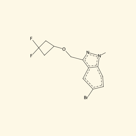 Cn1nc(COC2CC(F)(F)C2)c2cc(Br)ccc21